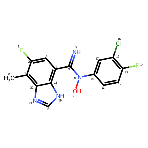 Cc1c(F)cc(C(=N)N(O)c2ccc(F)c(Cl)c2)c2[nH]cnc12